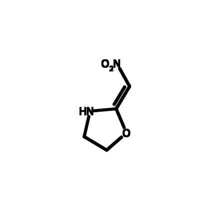 O=[N+]([O-])/C=C1\NCCO1